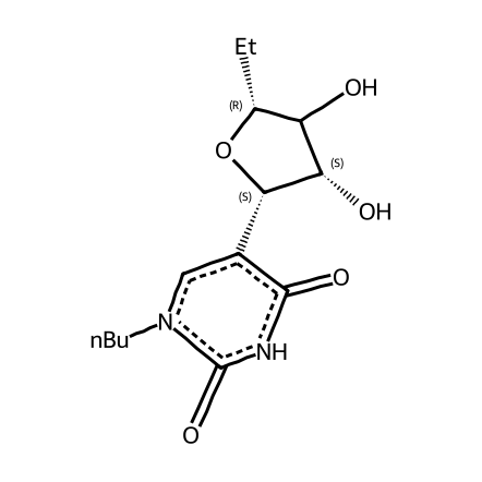 CCCCn1cc([C@@H]2O[C@H](CC)C(O)[C@@H]2O)c(=O)[nH]c1=O